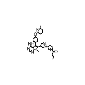 C/C=C/C(=O)N1CCC(n2cc(-c3c(-c4ccc(Oc5cccc(C)n5)cc4)c4c(N)ncnc4n3C)cn2)C1